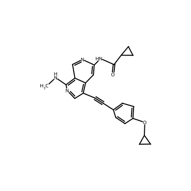 CNc1ncc(C#Cc2ccc(OC3CC3)cc2)c2cc(NC(=O)C3CC3)ncc12